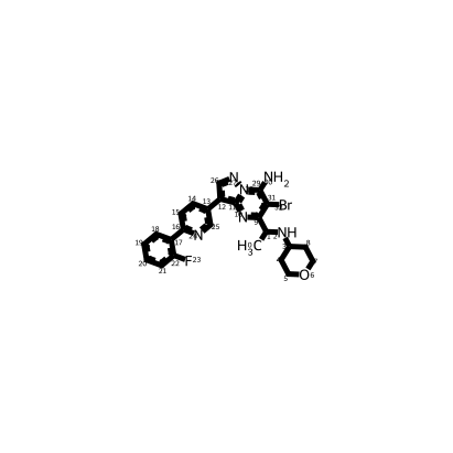 CC(NC1CCOCC1)c1nc2c(-c3ccc(-c4ccccc4F)nc3)cnn2c(N)c1Br